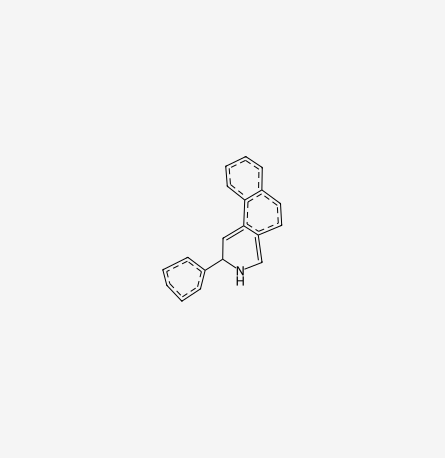 C1=c2ccc3ccccc3c2=CC(c2ccccc2)N1